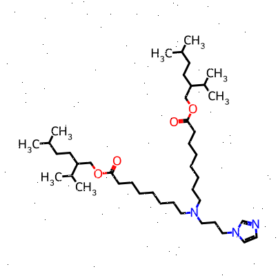 CC(C)CCC(COC(=O)CCCCCCCN(CCCCCCCC(=O)OCC(CCC(C)C)C(C)C)CCCn1ccnc1)C(C)C